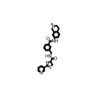 CN1CCc2ccc(NC(=O)c3cccc(CNC(=O)C4CSC(c5cccnc5)=N4)c3)cc2C1